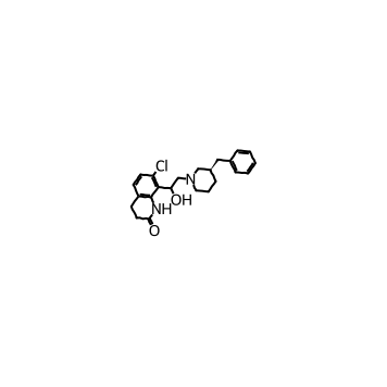 O=C1CCc2ccc(Cl)c(C(O)CN3CCC[C@H](Cc4ccccc4)C3)c2N1